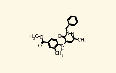 COC(=O)c1ccc(Nc2cc(C)nn(Cc3ccccc3)c2=O)c(C)c1